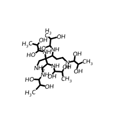 CC(O)C(O)NCCC(NC(O)C(C)O)C(CN)(NC(O)C(C)O)C(CNC(O)C(C)O)NC(O)C(C)O